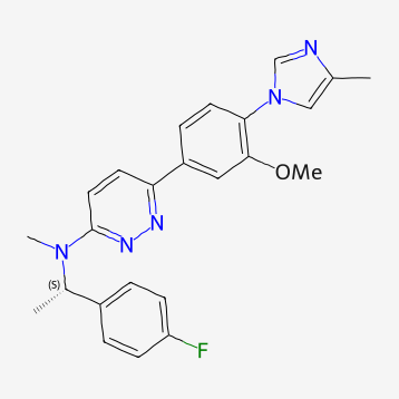 COc1cc(-c2ccc(N(C)[C@@H](C)c3ccc(F)cc3)nn2)ccc1-n1cnc(C)c1